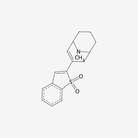 CN1C2C=C(C3=Cc4ccccc4S3(=O)=O)CC1CCC2